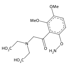 COc1ccc(ON)c(C(=O)CN(CC(=O)O)CC(=O)O)c1OC